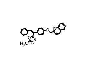 Cc1nnc(C(=Cc2ccccc2)c2ccc(OCc3ccc4ccccc4n3)cc2)o1